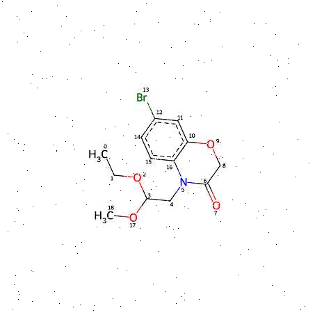 CCOC(CN1C(=O)COc2cc(Br)ccc21)OC